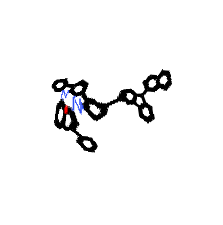 c1ccc(-c2cccc(-n3c4ccc(-c5ccc6c(c5)-c5ccccc5C6c5ccc6ccccc6c5)cc4c4ccc5c6ccccc6n(-c6ccccc6)c5c43)c2)cc1